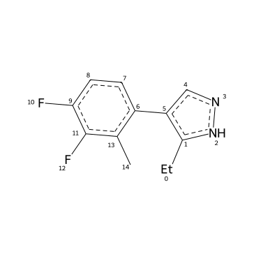 CCc1[nH]ncc1-c1ccc(F)c(F)c1C